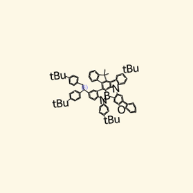 CC(C)(C)c1ccc(/C=C(\c2ccc(C(C)(C)C)cc2)c2ccc3c(c2)-c2c4c(c5c6cc(C(C)(C)C)ccc6n6c5c2B(c2cc5oc7ccccc7c5cc2-6)N3c2ccc(C(C)(C)C)cc2)C(C)(C)c2ccccc2-4)cc1